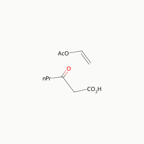 C=COC(C)=O.CCCC(=O)CC(=O)O